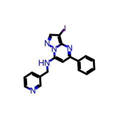 Ic1cnn2c(NCc3cccnc3)cc(-c3ccccc3)nc12